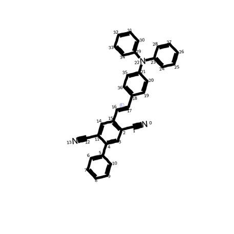 N#Cc1cc(-c2ccccc2)c(C#N)cc1/C=C/c1ccc(N(c2ccccc2)c2ccccc2)cc1